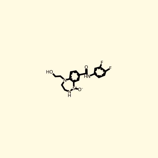 O=C(Nc1ccc(F)c(F)c1)c1ccc2c(c1)[S+]([O-])NCCN2CCO